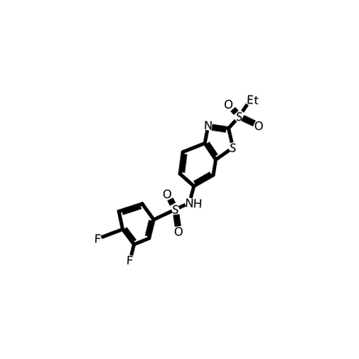 CCS(=O)(=O)c1nc2ccc(NS(=O)(=O)c3ccc(F)c(F)c3)cc2s1